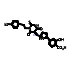 CCc1ccc(CCN2C(=O)/C(=C/c3ccc(-c4ccc(C(=O)O)c(O)c4)[nH]3)C(=O)NC2=S)cc1